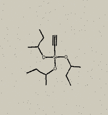 C#C[Si](OC(C)CC)(OC(C)CC)OC(C)CC